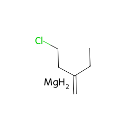 C=C(CC)CCCl.[MgH2]